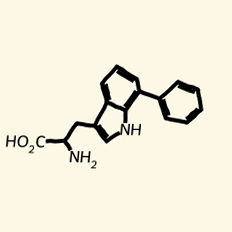 NC(Cc1c[nH]c2c(-c3ccccc3)cccc12)C(=O)O